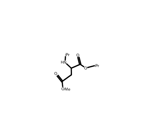 COC(=O)CC(NC(C)C)C(=O)OC(C)C